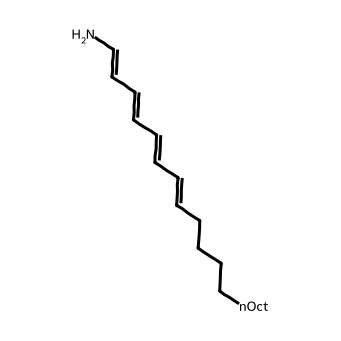 CCCCCCCCCCCCC=CC=CC=CC=CN